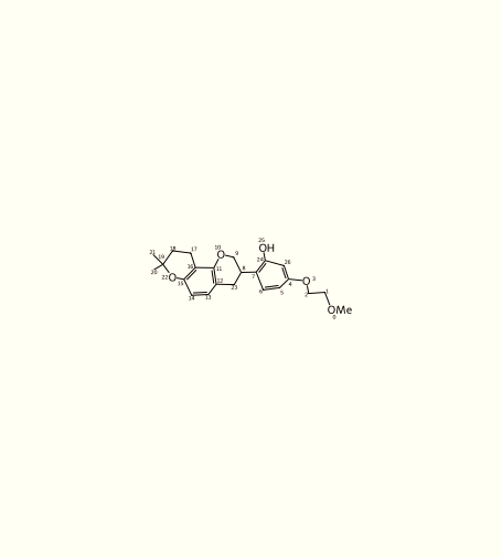 COCCOc1ccc(C2COc3c(ccc4c3CCC(C)(C)O4)C2)c(O)c1